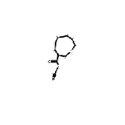 N#CSC(=O)C1CCCCCCCC1